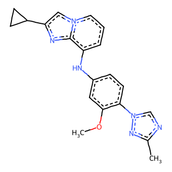 COc1cc(Nc2cccn3cc(C4CC4)nc23)ccc1-n1cnc(C)n1